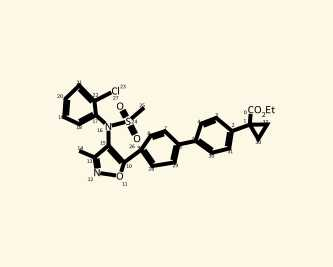 CCOC(=O)C1(c2ccc(-c3ccc(-c4onc(C)c4N(c4ccccc4Cl)S(C)(=O)=O)cc3)cc2)CC1